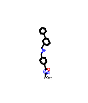 CCCCCCCCc1noc(-c2ccc(CNCc3cccc(-c4ccccc4)c3)cc2)n1